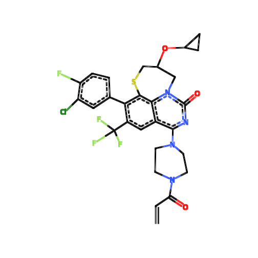 C=CC(=O)N1CCN(c2nc(=O)n3c4c(c(-c5ccc(F)c(Cl)c5)c(C(F)(F)F)cc24)SCC(OC2CC2)C3)CC1